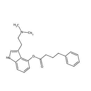 CN(C)CCc1c[nH]c2cccc(OC(=O)CCCc3ccccc3)c12